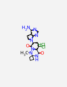 CN1n2c(c(Cl)cc(-n3ccc4c(N)ncnc43)c2=O)C(=O)NC12CCC2.Cl